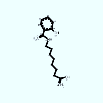 C=C(O)CCCCCCCNC(=C)c1ccccc1O